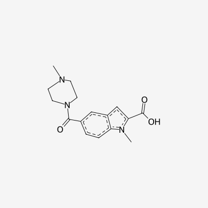 CN1CCN(C(=O)c2ccc3c(c2)cc(C(=O)O)n3C)CC1